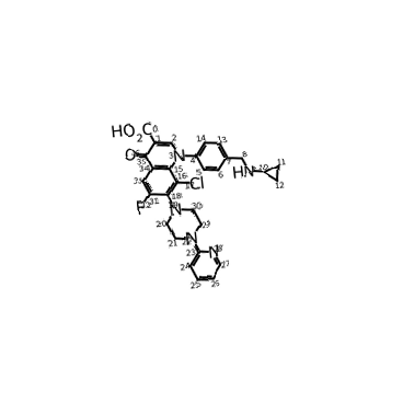 O=C(O)c1cn(-c2ccc(CNC3CC3)cc2)c2c(Cl)c(N3CCN(c4ccccn4)CC3)c(F)cc2c1=O